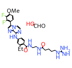 CCc1cc(Nc2nccn3c(-c4ccc(OC)c(F)c4F)cnc23)ccc1C(=O)NCCNC(=O)CCCCNC(=N)N.O=CO